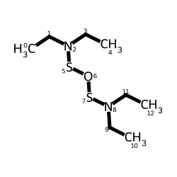 CCN(CC)SOSN(CC)CC